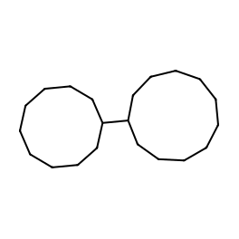 C1CCCCCC(C2CCCCCCCCC2)CCCC1